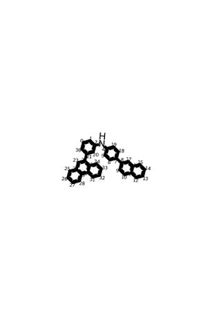 c1cc(Nc2ccc(-c3ccc4ccccc4c3)cc2)cc(-c2cc3ccccc3c3ccccc23)c1